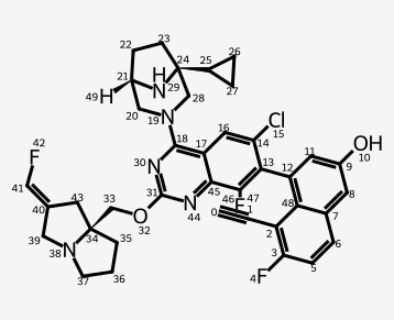 C#Cc1c(F)ccc2cc(O)cc(-c3c(Cl)cc4c(N5C[C@@H]6CC[C@](C7CC7)(C5)N6)nc(OC[C@@]56CCCN5C/C(=C/F)C6)nc4c3F)c12